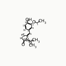 CCOc1cc(C=C2SCC(=O)N2N(C)C)ccc1O